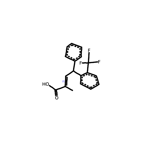 C/C(=C\C(c1ccccc1)c1ccccc1C(F)(F)F)C(=O)O